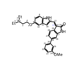 CCN(CC)CCOc1ccc2[nH]c(/C=C3/C(=O)Nc4cc(-c5cccc(OC)c5)ccc43)cc2c1